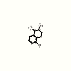 Oc1cccc2c1CCC(O)C2C(F)(F)F